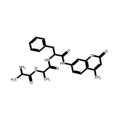 Cc1cc(=O)oc2cc(NC(=O)C(Cc3ccccc3)NC(=O)C(C)NC(=O)C(C)N)ccc12